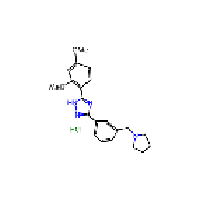 COc1ccc(-c2nc(-c3cccc(CN4CCCC4)c3)n[nH]2)c(OC)c1.Cl